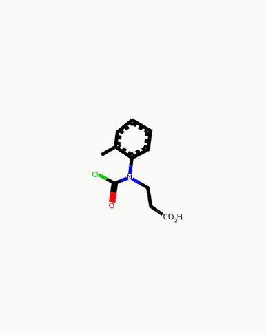 Cc1ccccc1N(CCC(=O)O)C(=O)Cl